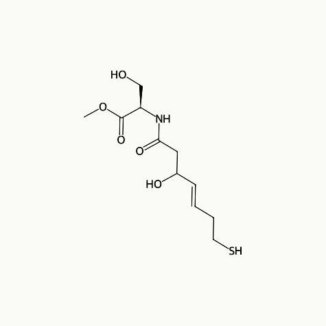 COC(=O)[C@@H](CO)NC(=O)CC(O)/C=C/CCS